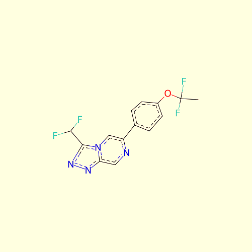 CC(F)(F)Oc1ccc(-c2cn3c(C(F)F)nnc3cn2)cc1